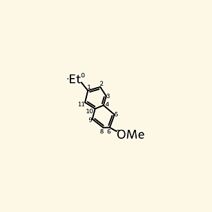 C[CH]c1ccc2cc(OC)ccc2c1